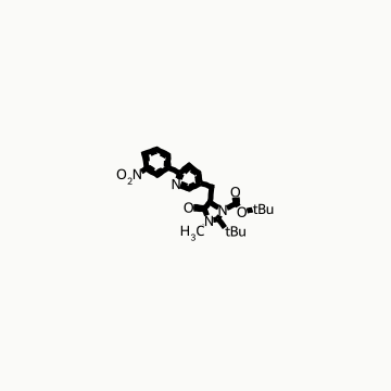 CN1C(=O)C(Cc2ccc(-c3cccc([N+](=O)[O-])c3)nc2)N(C(=O)OC(C)(C)C)C1C(C)(C)C